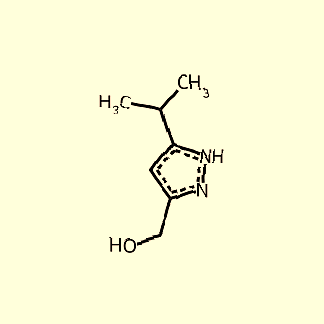 CC(C)c1cc(CO)n[nH]1